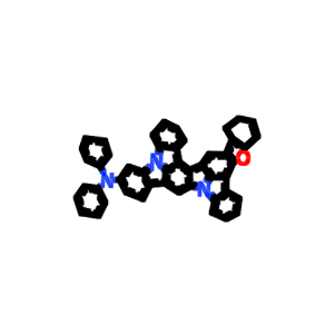 C1=Cc2oc3c(cc4c5c6c7ccccc7n7c8cc(N(c9ccccc9)c9ccccc9)ccc8c(cc5n5c8ccccc8c3c45)c67)c2CC1